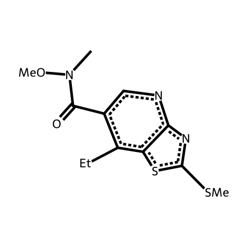 CCc1c(C(=O)N(C)OC)cnc2nc(SC)sc12